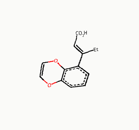 CCC(=CC(=O)O)c1cccc2c1OC=CO2